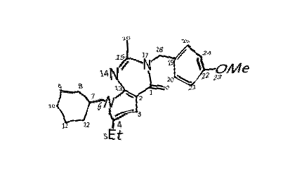 C=C1c2cc(CC)n(C3CCCCC3)c2N=C(C)N1Cc1ccc(OC)cc1